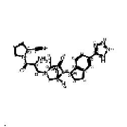 N#C[C@@H]1CCCN1C(=O)[C@@H](N)CN1C[C@@H]2C[C@H]1C(=O)N2[C@@H]1CCc2cc(-c3nnn[nH]3)ccc21